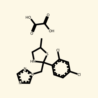 CC1CNC(Cn2cncn2)(c2ccc(Cl)cc2Cl)S1.O=C(O)C(=O)O